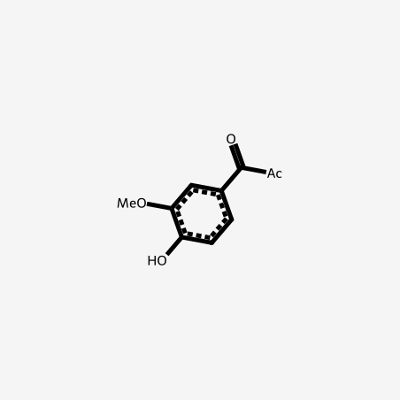 COc1cc(C(=O)C(C)=O)ccc1O